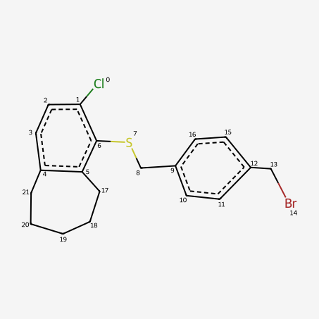 Clc1ccc2c(c1SCc1ccc(CBr)cc1)CCCCC2